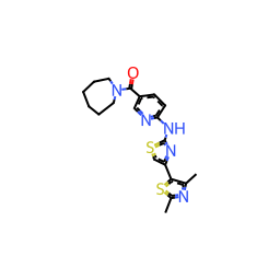 Cc1nc(C)c(-c2csc(Nc3ccc(C(=O)N4CCCCCC4)cn3)n2)s1